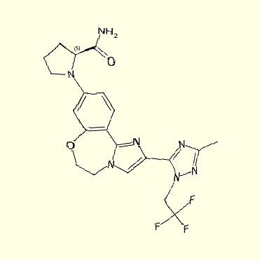 Cc1nc(-c2cn3c(n2)-c2ccc(N4CCC[C@H]4C(N)=O)cc2OCC3)n(CC(F)(F)F)n1